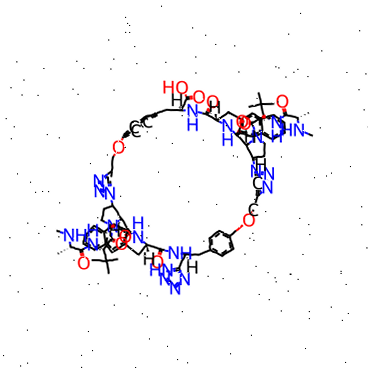 CN[C@@H](C)C(=O)N[C@H](C(=O)N1CCC2[C@H]1C(=O)N[C@@H](Cc1ccc3ccccc3c1)C(=O)N[C@H](c1nnn[nH]1)Cc1ccc(cc1)OCc1cn(nn1)[C@@H]1CCN(C(=O)[C@@H](NC(=O)[C@H](C)NC)C(C)(C)C)[C@@H]1C(=O)N[C@@H](Cc1ccc3ccccc3c1)C(=O)N[C@H](C(=O)O)Cc1ccc(cc1)OCc1cn2nn1)C(C)(C)C